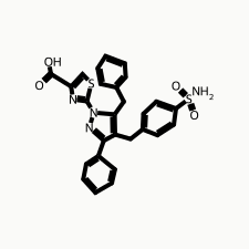 NS(=O)(=O)c1ccc(Cc2c(-c3ccccc3)nn(-c3nc(C(=O)O)cs3)c2Cc2ccccc2)cc1